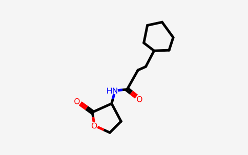 O=C(CCC1CCCCC1)NC1CCOC1=O